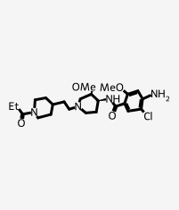 CCC(=O)N1CCC(CCN2CC[C@H](NC(=O)c3cc(Cl)c(N)cc3OC)[C@H](OC)C2)CC1